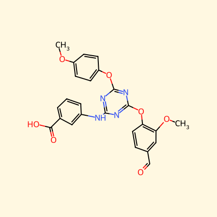 COc1ccc(Oc2nc(Nc3cccc(C(=O)O)c3)nc(Oc3ccc(C=O)cc3OC)n2)cc1